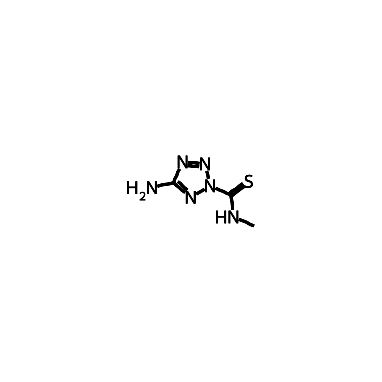 CNC(=S)n1nnc(N)n1